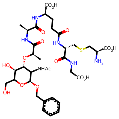 CC(=O)NC1[C@@H](OCc2ccccc2)OC(CO)[C@@H](O)[C@@H]1O[C@H](C)C(=O)N[C@@H](C)C(=O)N[C@H](CCC(=O)N[C@H](CSC[C@H](N)C(=O)O)C(=O)NCC(=O)O)C(=O)O